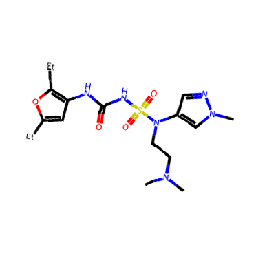 CCc1cc(NC(=O)NS(=O)(=O)N(CCN(C)C)c2cnn(C)c2)c(CC)o1